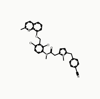 Cc1ccc2cccc(OCc3c(Cl)ccc(N(C)C(=O)Cc4ccc(Cc5ccc(C#N)cc5)n4C)c3Cl)c2n1